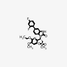 CCOc1nc([C@@H](CS(C)(=O)=O)n2c(=O)[nH]c3cc(-c4ccc(F)cc4F)ccc32)ccc1OC